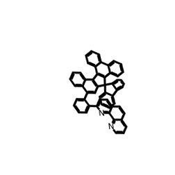 c1ccc(-c2cc3c(c4ccccc24)-c2c(c4ccccc4c4ccccc24)C32c3ccccc3-c3ccccc32)c(-c2ccc3ccc4cccnc4c3n2)c1